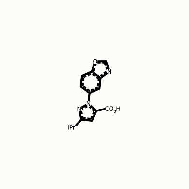 CC(C)c1cc(C(=O)O)n(-c2ccc3ocnc3c2)n1